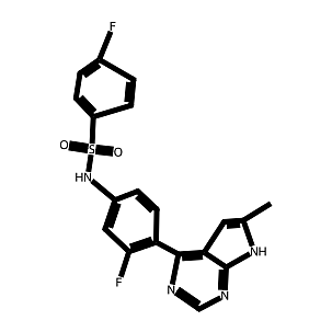 Cc1cc2c(-c3ccc(NS(=O)(=O)c4ccc(F)cc4)cc3F)ncnc2[nH]1